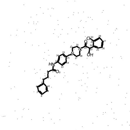 O=C(CCCc1ccccc1)Nc1ccc(N2CCN(C(=O)C(O)c3ccccc3Cl)CC2)cc1